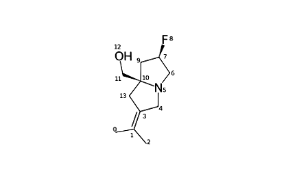 CC(C)=C1CN2C[C@H](F)C[C@@]2(CO)C1